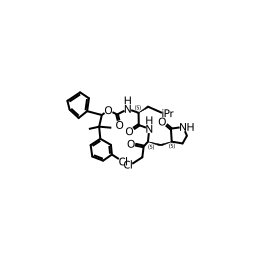 CC(C)C[C@H](NC(=O)OC(c1ccccc1)C(C)(C)c1cccc(Cl)c1)C(=O)N[C@@H](C[C@@H]1CCNC1=O)C(=O)CCl